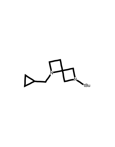 CC(C)(C)N1CC2(CCN2CC2CC2)C1